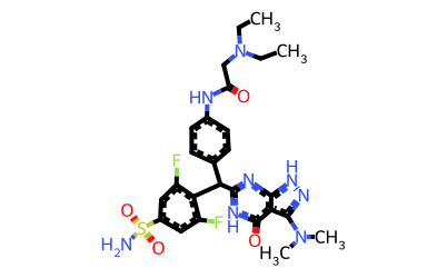 CCN(CC)CC(=O)Nc1ccc(C(c2nc3[nH]nc(N(C)C)c3c(=O)[nH]2)c2c(F)cc(S(N)(=O)=O)cc2F)cc1